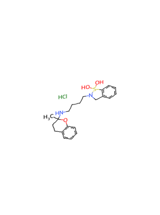 CC1(NCCCCN2Cc3ccccc3S2(O)O)CCc2ccccc2O1.Cl